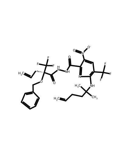 C=CCCC(C)(C)Nc1nc(C(=O)NNC(=O)[C@@](CC=C)(OCc2ccccc2)C(F)(F)F)c([N+](=O)[O-])cc1C(F)(F)F